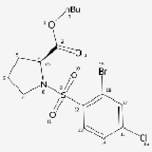 CCCCOC(=O)[C@@H]1CCCN1S(=O)(=O)c1ccc(Cl)cc1Br